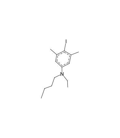 CCCCN(CC)c1cc(C)c(I)c(C)c1